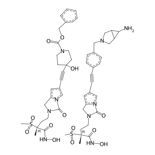 C[C@@](CCN1Cc2cc(C#CC3(O)CCN(C(=O)OCc4ccccc4)CC3)cn2C1=O)(C(=O)NO)S(C)(=O)=O.C[C@@](CCN1Cc2cc(C#Cc3ccc(CN4CC5C(N)C5C4)cc3)cn2C1=O)(C(=O)NO)S(C)(=O)=O